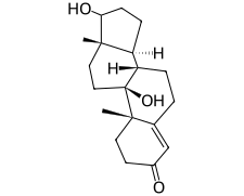 C[C@]12CCC(=O)C=C1CC[C@H]1[C@@H]3CCC(O)[C@@]3(C)CC[C@]12O